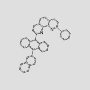 c1ccc(-c2ccc3ccc4ccc(-c5c6ccccc6c(-c6ccc7ccccc7c6)c6ccccc56)nc4c3n2)cc1